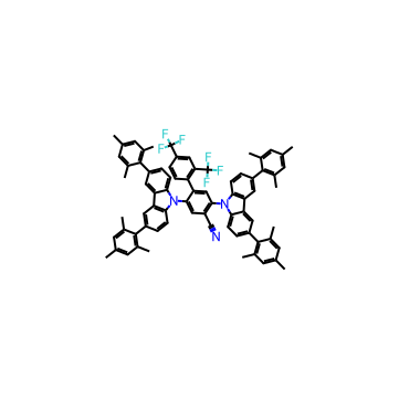 Cc1cc(C)c(-c2ccc3c(c2)c2cc(-c4c(C)cc(C)cc4C)ccc2n3-c2cc(-c3ccc(C(F)(F)F)cc3C(F)(F)F)c(-n3c4ccc(-c5c(C)cc(C)cc5C)cc4c4cc(-c5c(C)cc(C)cc5C)ccc43)cc2C#N)c(C)c1